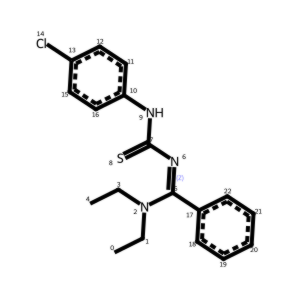 CCN(CC)/C(=N\C(=S)Nc1ccc(Cl)cc1)c1ccccc1